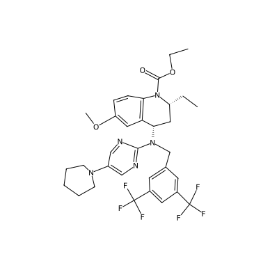 CCOC(=O)N1c2ccc(OC)cc2[C@@H](N(Cc2cc(C(F)(F)F)cc(C(F)(F)F)c2)c2ncc(N3CCCCC3)cn2)C[C@H]1CC